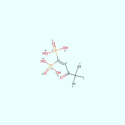 CCC(C)(CC)C(=O)C=C(P(=O)(O)O)P(=O)(O)O